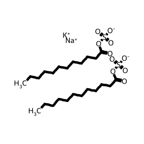 CCCCCCCCCCCC(=O)OS(=O)(=O)[O-].CCCCCCCCCCCC(=O)OS(=O)(=O)[O-].[K+].[Na+]